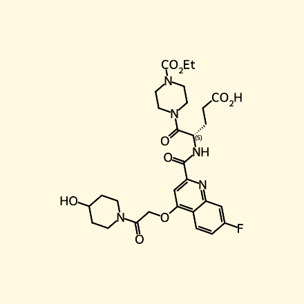 CCOC(=O)N1CCN(C(=O)[C@H](CCC(=O)O)NC(=O)c2cc(OCC(=O)N3CCC(O)CC3)c3ccc(F)cc3n2)CC1